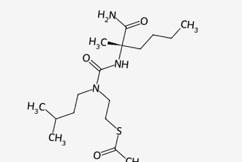 CCCC[C@](C)(NC(=O)N(CCSC(C)=O)CCC(C)C)C(N)=O